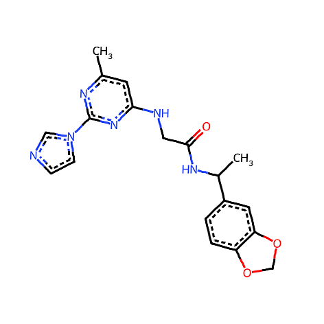 Cc1cc(NCC(=O)NC(C)c2ccc3c(c2)OCO3)nc(-n2ccnc2)n1